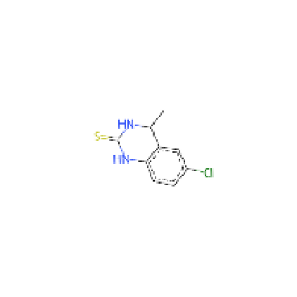 CC1NC(=S)Nc2ccc(Cl)cc21